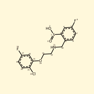 O=S(O)c1cc(F)ccc1CNCCOc1cc(F)ccc1Cl